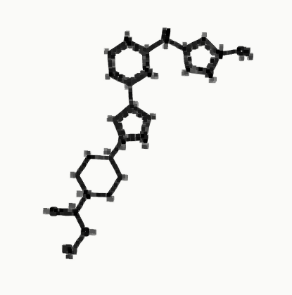 Cn1cc(Nc2nccc(-c3cnn(C4CCN(C(=O)OC(C)(C)C)CC4)c3)n2)cn1